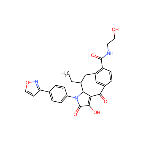 CCC1Cc2cc(ccc2C(=O)NCCO)C(=O)C2=C(O)C(=O)N(c3ccc(-c4ccon4)cc3)C21